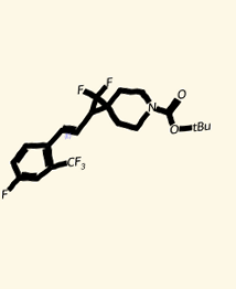 CC(C)(C)OC(=O)N1CCC2(CC1)C(/C=C/c1ccc(F)cc1C(F)(F)F)C2(F)F